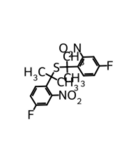 CC(C)(SC(C)(C)c1ccc(F)cc1[N+](=O)[O-])c1ccc(F)cc1[N+](=O)[O-]